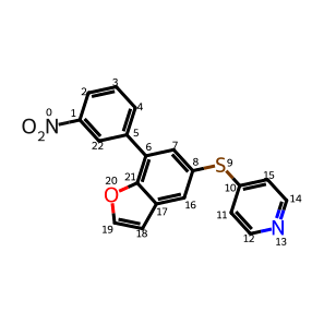 O=[N+]([O-])c1cccc(-c2cc(Sc3ccncc3)cc3ccoc23)c1